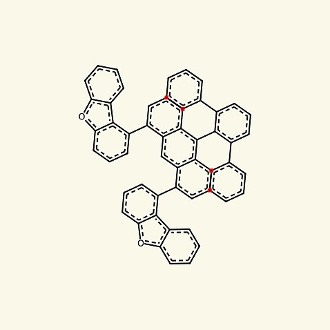 c1ccc(-c2cccc(-c3ccccc3)c2-c2c3cccc(-c4cccc5oc6ccccc6c45)c3cc3c(-c4cccc5oc6ccccc6c45)cccc23)cc1